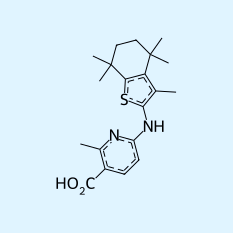 Cc1nc(Nc2sc3c(c2C)C(C)(C)CCC3(C)C)ccc1C(=O)O